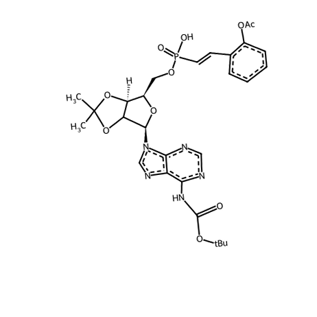 CC(=O)Oc1ccccc1/C=C/P(=O)(O)OC[C@H]1O[C@@H](n2cnc3c(NC(=O)OC(C)(C)C)ncnc32)C2OC(C)(C)O[C@H]21